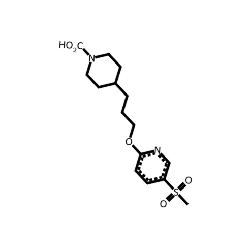 CS(=O)(=O)c1ccc(OCCCC2CCN(C(=O)O)CC2)nc1